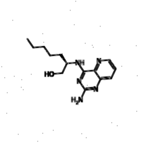 CCCCC[C@H](CO)Nc1nc(N)nc2cccnc12